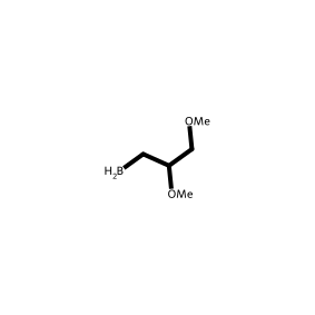 BCC(COC)OC